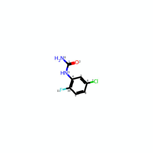 NC(=O)Nc1cc(Cl)ccc1F